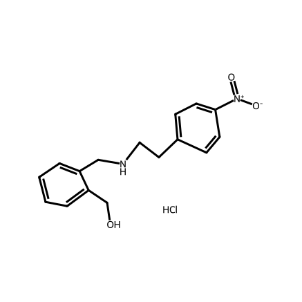 Cl.O=[N+]([O-])c1ccc(CCNCc2ccccc2CO)cc1